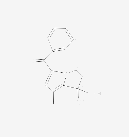 O=C(c1ccccc1)c1cc(Cl)c2n1CCC2(C(=O)O)C(=O)O